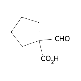 O=CC1(C(=O)O)CCCC1